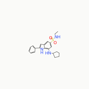 CCNS(=O)(=O)c1cc(NC2CCCC2)c2[nH]c(-c3ccccc3)cc2c1